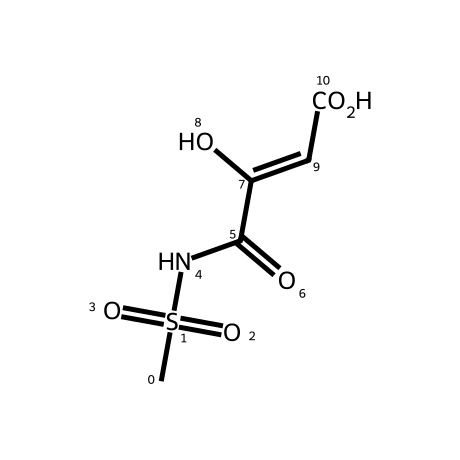 CS(=O)(=O)NC(=O)C(O)=CC(=O)O